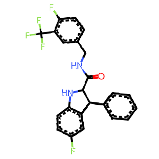 O=C(NCc1ccc(F)c(C(F)(F)F)c1)C1Nc2ccc(F)cc2C1c1ccccc1